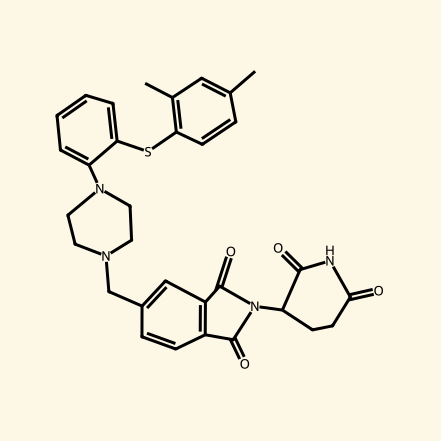 Cc1ccc(Sc2ccccc2N2CCN(Cc3ccc4c(c3)C(=O)N(C3CCC(=O)NC3=O)C4=O)CC2)c(C)c1